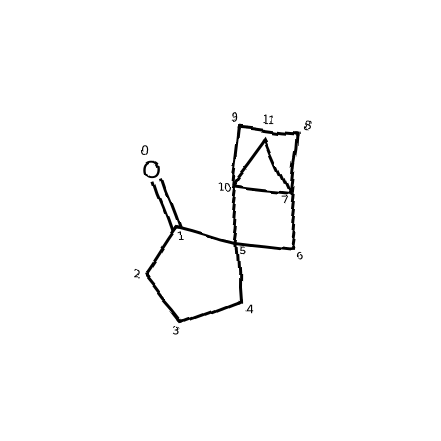 O=C1CCCC12CC13CCC12C3